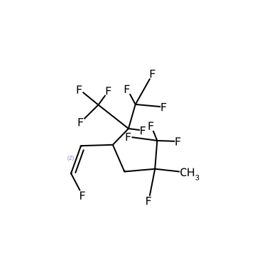 CC(F)(CC(/C=C\F)C(F)(C(F)(F)F)C(F)(F)F)C(F)(F)F